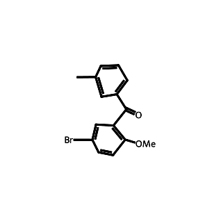 COc1ccc(Br)cc1C(=O)c1cccc(C)c1